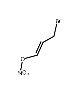 O=[N+]([O-])OC=CCBr